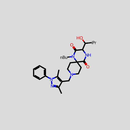 CCCCN1C(=O)C(C(O)C(C)C)NC(=O)C12CCN(Cc1c(C)nn(-c3ccccc3)c1C)CC2